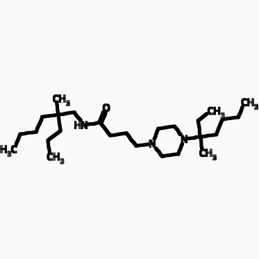 CCCCC(C)(CCC)CNC(=O)CCCN1CCN(C(C)(CC)CCCC)CC1